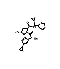 CC(C)(C)[C@@H](C(=O)N1C[C@H](O)C[C@H]1C(=O)NC(C1CC1)C1CCCCO1)n1cc(C2CC2)nn1